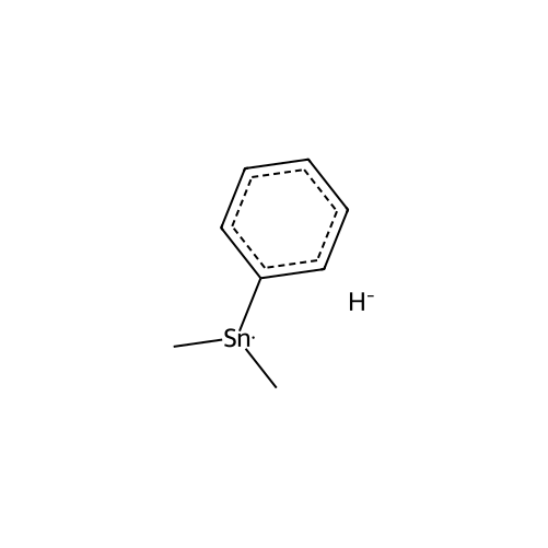 [CH3][Sn]([CH3])[c]1ccccc1.[H-]